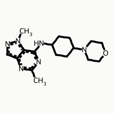 Cc1nc(NC2CCC(N3CCOCC3)CC2)c2c(cnn2C)n1